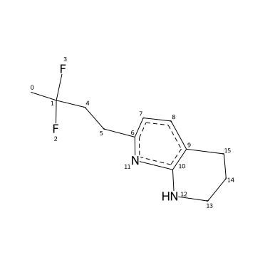 CC(F)(F)CCc1ccc2c(n1)NCCC2